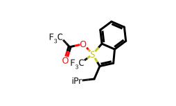 CC(C)CC1=Cc2ccccc2S1(OC(=O)C(F)(F)F)C(F)(F)F